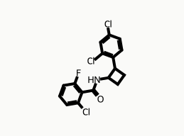 O=C(NC1CCC1c1ccc(Cl)cc1Cl)c1c(F)cccc1Cl